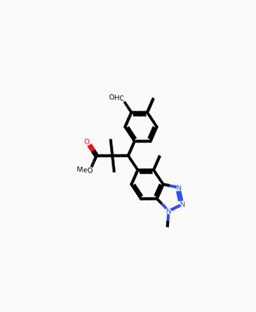 COC(=O)C(C)(C)C(c1ccc(C)c(C=O)c1)c1ccc2c(nnn2C)c1C